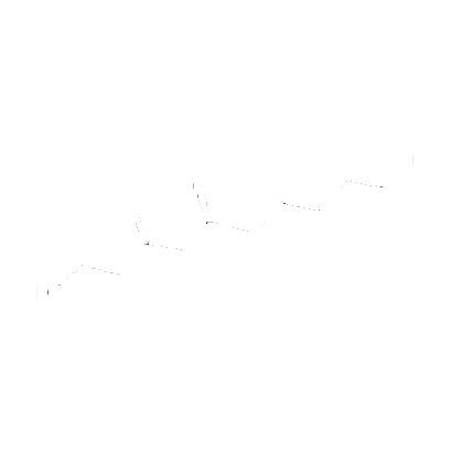 CCCCC=CC(=O)CC(=O)OCC